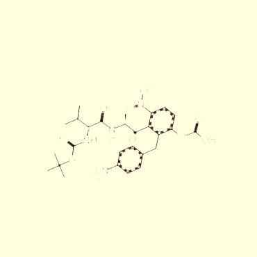 CC(C)[C@H](NC(=O)OC(C)(C)C)C(=O)N[C@@H](C)C(=O)c1c([N+](=O)[O-])ccc(OC(=O)O)c1Cc1ccc(N)cc1